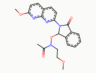 COCCN(OC1c2ccccc2C(=O)N1c1ccc2ccc(OC)nc2n1)C(C)=O